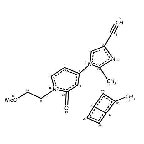 C#Cc1cn(-c2ccn(CCOC)c(=O)c2)c(C)n1.Cc1cc2ccc1-2